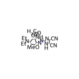 CCN(CC)c1cc(NS(C)(=O)=O)c(/N=N/c2nc(C#N)c(C#N)[nH]2)cc1OC